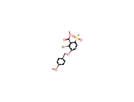 COC(=O)c1c(S(C)(=O)=O)ccc(OCc2ccc(OC)cc2)c1Br